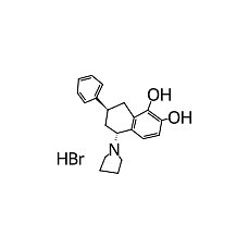 Br.Oc1ccc2c(c1O)C[C@H](c1ccccc1)C[C@H]2N1CCCC1